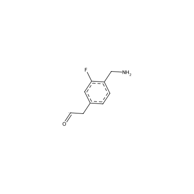 NCc1ccc(C[C]=O)cc1F